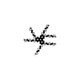 COCCOCCOc1cc2c3cc(OCCOCCOC)c(OCCOCCOC)cc3c3cc(OCCOCCOC)c(OCCOCCOC)cc3c2cc1OCCOCCOC